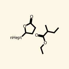 CCCCCCCC1CCC(=O)O1.CCOC(=O)C(C)CC